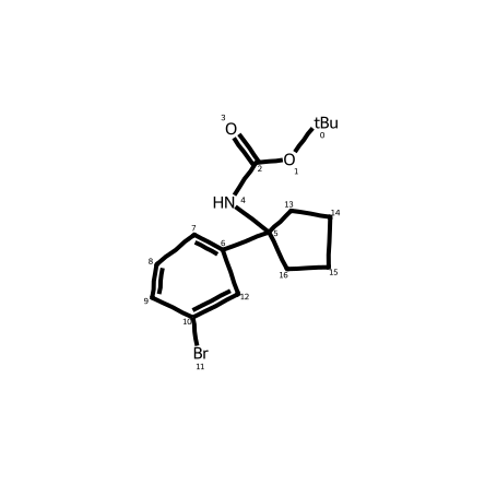 CC(C)(C)OC(=O)NC1(c2cccc(Br)c2)CCCC1